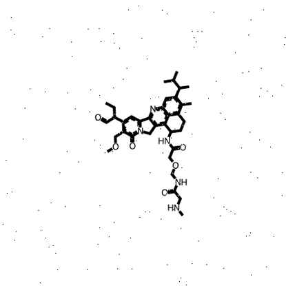 CCC(C=O)c1cc2n(c(=O)c1COC)Cc1c-2nc2cc(C(C)C(C)C)c(C)c3c2c1C(NC(=O)COCNC(=O)CNC)CC3